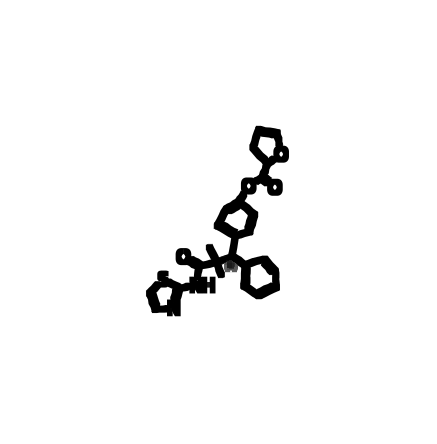 CC(C)(C(=O)Nc1nccs1)[C@H](c1ccccc1)c1ccc(OC(=O)C2CC=CO2)cc1